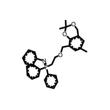 Cc1cc(COCCP(=Nc2ccccc2)(c2ccccc2)c2ccccc2)c2c(c1)COC(C)(C)O2